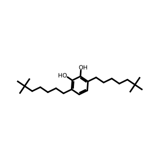 CC(C)(C)CCCCCc1ccc(CCCCCC(C)(C)C)c(O)c1O